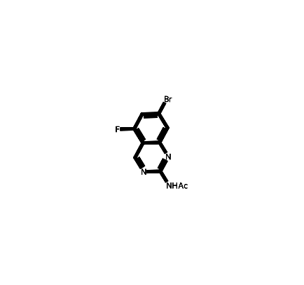 CC(=O)Nc1ncc2c(F)cc(Br)cc2n1